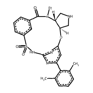 CCN1C(=O)c2cccc(c2)S(=O)(=O)Nc2nc(cc(-c3c(C)cccc3C)n2)O[C@@H]2CNC[C@H]21